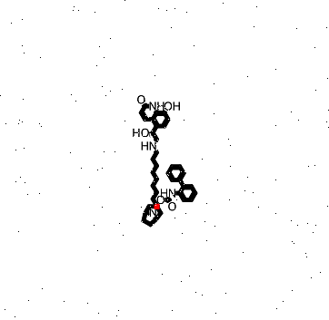 O=C(Nc1ccccc1-c1ccccc1)OC1CC2CCC(C1)N2CCCCCCCCCNC[C@H](O)c1ccc(O)c2[nH]c(=O)ccc12